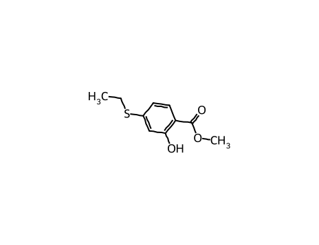 CCSc1ccc(C(=O)OC)c(O)c1